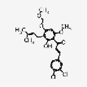 COCOc1cc(OC)c(C(=O)/C=C/c2ccc(Cl)c(Cl)c2)c(O)c1CC=C(C)C